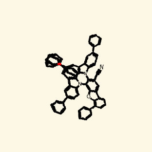 N#Cc1cc2c(oc3c(-c4ccccc4)cccc32)c(-n2c3ccc(-c4ccccc4)cc3c3cc(-c4ccccc4)ccc32)c1-n1c2ccc(-c3ccccc3)cc2c2cc(-c3ccccc3)ccc21